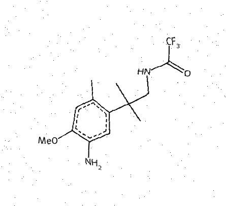 COc1cc(C)c(C(C)(C)CNC(=O)C(F)(F)F)cc1N